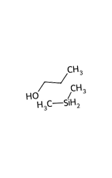 CCCO.C[SiH2]C